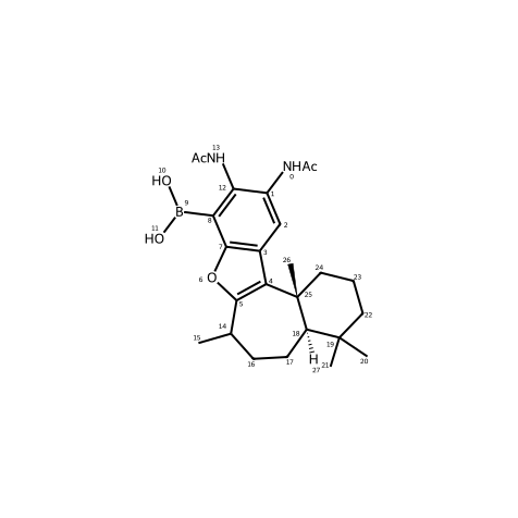 CC(=O)Nc1cc2c3c(oc2c(B(O)O)c1NC(C)=O)C(C)CC[C@@H]1C(C)(C)CCC[C@@]31C